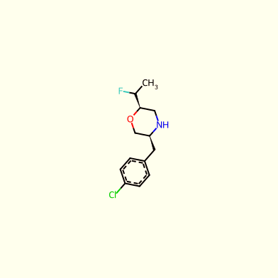 CC(F)[C@H]1CN[C@@H](Cc2ccc(Cl)cc2)CO1